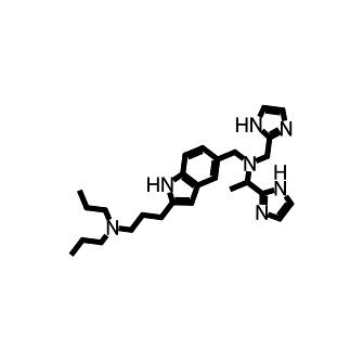 CCCN(CCC)CCCc1cc2cc(CN(Cc3ncc[nH]3)C(C)c3ncc[nH]3)ccc2[nH]1